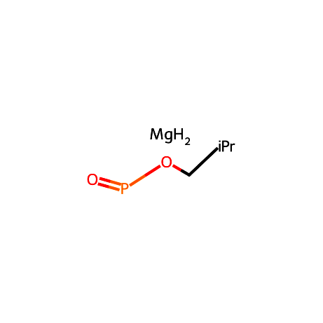 CC(C)COP=O.[MgH2]